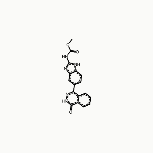 COC(=O)Nc1nc2cc(-c3n[nH]c(=O)c4ccccc34)ccc2[nH]1